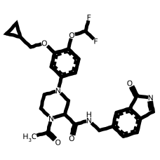 CC(=O)N1CCN(c2ccc(OC(F)F)c(OCC3CC3)c2)CC1C(=O)NCc1ccc2c(c1)C(=O)N=C2